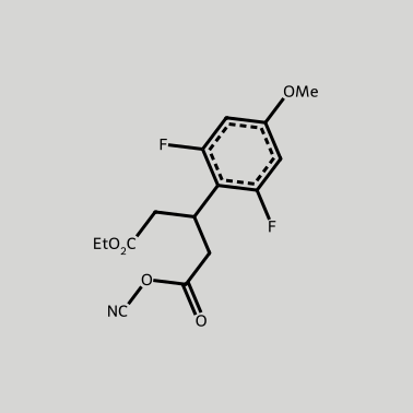 CCOC(=O)CC(CC(=O)OC#N)c1c(F)cc(OC)cc1F